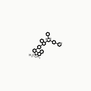 CC1(C)c2cccc(-c3ccc(-c4ccc(-c5cc(-c6ccc(-c7cccnc7)cc6)nc(-c6ccccc6)n5)c5ccccc45)cc3)c2-c2c1ccc1ccccc21